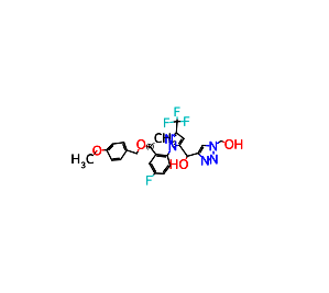 COc1ccc(CO[C@H](C)c2cc(F)ccc2-n2nc(C(F)(F)F)cc2C(O)c2cn(CO)nn2)cc1